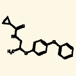 CC(CNC(=O)C1CC1)Oc1ccc(Oc2ccccc2)cc1